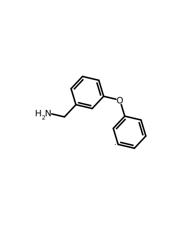 NCc1cccc(Oc2c[c]ccc2)c1